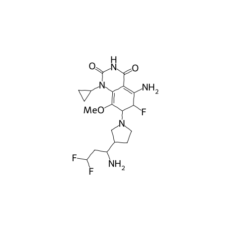 COC1=c2c(c(=O)[nH]c(=O)n2C2CC2)=C(N)C(F)C1N1CCC(C(N)CC(F)F)C1